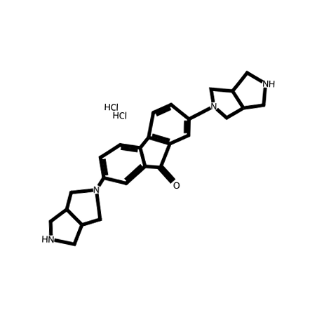 Cl.Cl.O=C1c2cc(N3CC4CNCC4C3)ccc2-c2ccc(N3CC4CNCC4C3)cc21